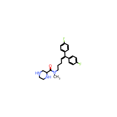 CN(CCCC=C(c1ccc(F)cc1)c1ccc(F)cc1)C(=O)C1CNCCN1